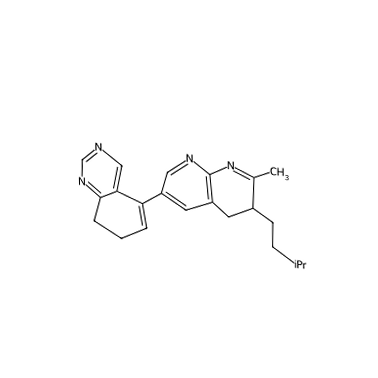 CC1=Nc2ncc(C3=CCCc4ncncc43)cc2CC1CCC(C)C